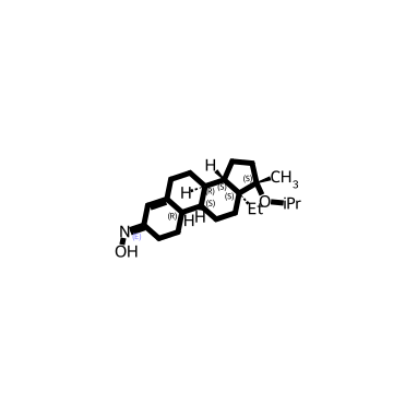 CC[C@]12CC[C@H]3[C@@H](CCC4=C/C(=N/O)CC[C@@H]43)[C@@H]1CC[C@]2(C)OC(C)C